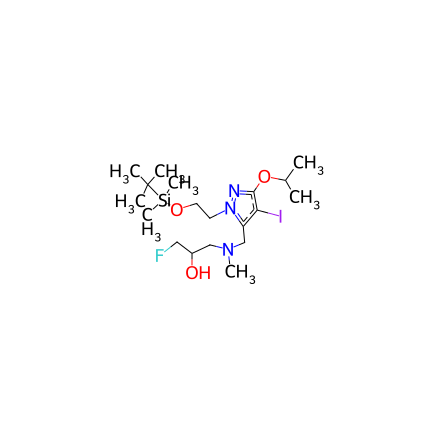 CC(C)Oc1nn(CCO[Si](C)(C)C(C)(C)C)c(CN(C)CC(O)CF)c1I